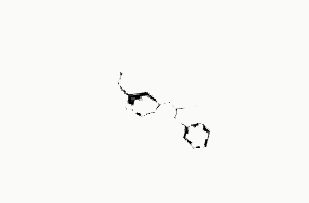 CCCc1cc(CC(C)Cc2ccccc2)ccn1